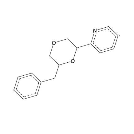 [c]1ccc(C2COCC(Cc3ccccc3)O2)nc1